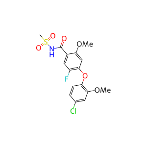 COc1cc(Cl)ccc1Oc1cc(OC)c(C(=O)NS(C)(=O)=O)cc1F